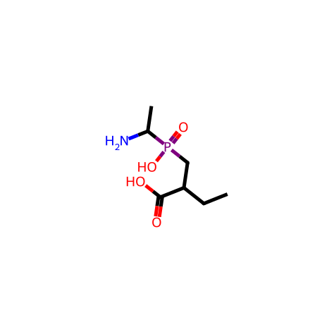 CCC(CP(=O)(O)C(C)N)C(=O)O